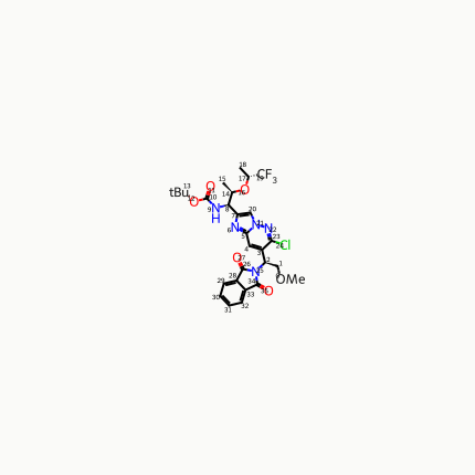 COC[C@H](c1cc2nc([C@@H](NC(=O)OC(C)(C)C)[C@@H](C)O[C@H](C)C(F)(F)F)cn2nc1Cl)N1C(=O)c2ccccc2C1=O